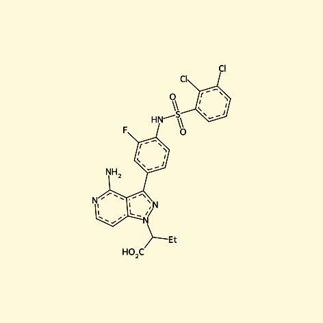 CCC(C(=O)O)n1nc(-c2ccc(NS(=O)(=O)c3cccc(Cl)c3Cl)c(F)c2)c2c(N)nccc21